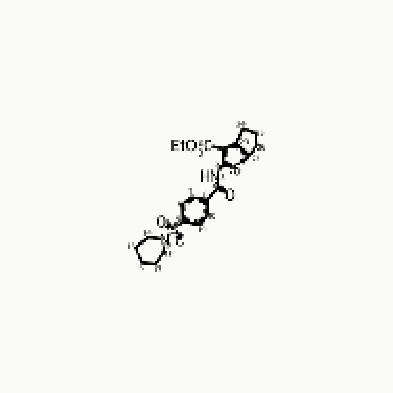 CCOC(=O)c1c(NC(=O)c2ccc(S(=O)(=O)N3CCCCC3)cc2)sc2c1CCC2